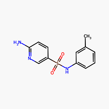 Cc1cccc(NS(=O)(=O)c2ccc(N)nc2)c1